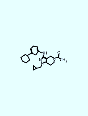 CC(=O)N1CCc2c(c(NC3=CCC=C(C4CCCCC4)C3)nn2CC2CC2)C1